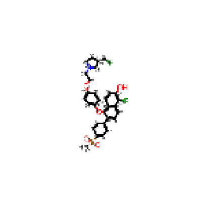 CS(=O)(=O)c1ccc(-c2ccc3c(F)c(O)ccc3c2Oc2ccc(OCCN3CC[C@@H](CF)C3)cc2)cc1